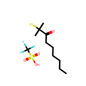 CCCCCCC(=O)C(C)(C)S.O=S(=O)(O)C(F)(F)F